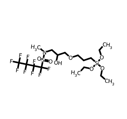 CCO[Si](CCCOCC(O)CN(C)S(=O)(=O)C(F)(F)C(F)(F)C(F)(F)C(F)(F)F)(OCC)OCC